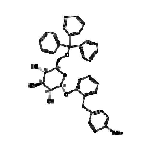 COc1ccc(Cc2ccccc2O[C@H]2O[C@H](COC(c3ccccc3)(c3ccccc3)c3ccccc3)[C@@H](O)[C@H](O)[C@H]2O)cc1